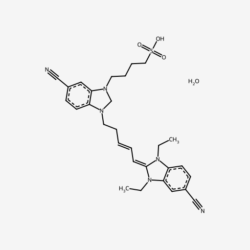 CCN1C(=CC=CCCN2CN(CCCCS(=O)(=O)O)c3cc(C#N)ccc32)N(CC)c2cc(C#N)ccc21.O